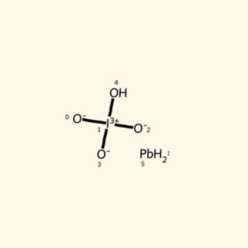 [O-][I+3]([O-])([O-])O.[PbH2]